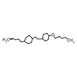 C=CCCCC1CCC(CCC2CCC(OCCCCC)CC2)CC1